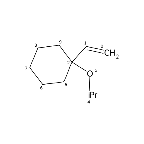 C=CC1(OC(C)C)CCCCC1